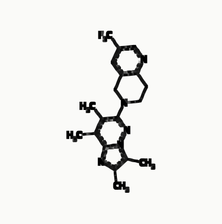 Cc1nc2c(C)c(C)c(N3CCc4ncc(C(F)(F)F)cc4C3)nn2c1C